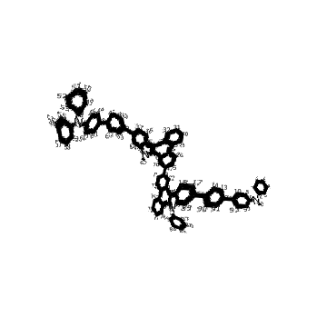 CN(c1ccccc1)c1ccc(-c2ccc(-c3ccc4c5c6cc(-c7ccc8c9ccccc9c9c%10ccc(-c%11ccc(-c%12ccc(N(c%13ccccc%13)c%13ccccc%13)cc%12)cc%11)cc%10n(C)c9c8c7)ccc6c6ccccc6c5n(-c5ccccc5)c4c3)cc2)cc1